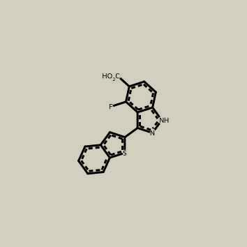 O=C(O)c1ccc2[nH]nc(-c3cc4ccccc4s3)c2c1F